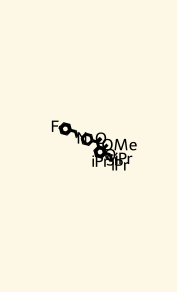 COc1c(O[Si](C(C)C)(C(C)C)C(C)C)cccc1C(=O)C1CCN(CCc2ccc(F)cc2)CC1